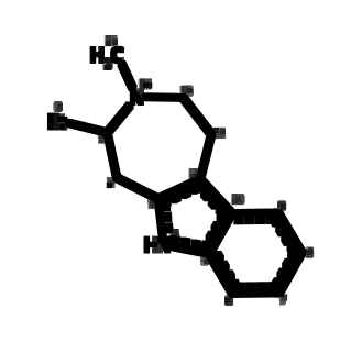 CCC1Cc2[nH]c3ccccc3c2CCN1C